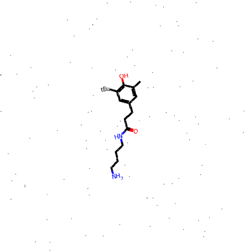 Cc1cc(CCC(=O)NCCCCN)cc(C(C)(C)C)c1O